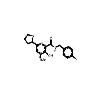 COc1cc(C2CCCO2)nc(C(=O)NCc2ccc(F)cc2)c1O